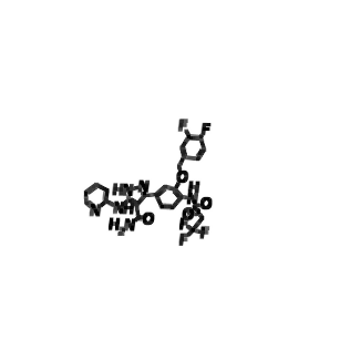 NC(=O)c1c(-c2ccc(NS(=O)(=O)CC(F)(F)F)c(OCc3ccc(F)c(F)c3)c2)n[nH]c1Nc1ccccn1